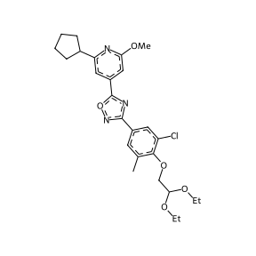 CCOC(COc1c(C)cc(-c2noc(-c3cc(OC)nc(C4CCCC4)c3)n2)cc1Cl)OCC